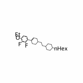 CCCCCCC1CCC(CCC2CC=C(c3ccc(OCC)c(F)c3F)CC2)CC1